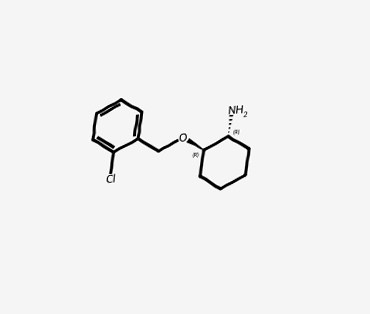 N[C@@H]1CCCC[C@H]1OCc1ccccc1Cl